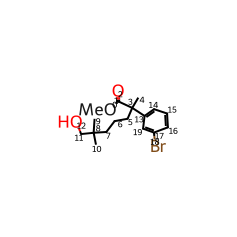 COC(=O)C(C)(CCCC(C)(C)CO)c1cccc(Br)c1